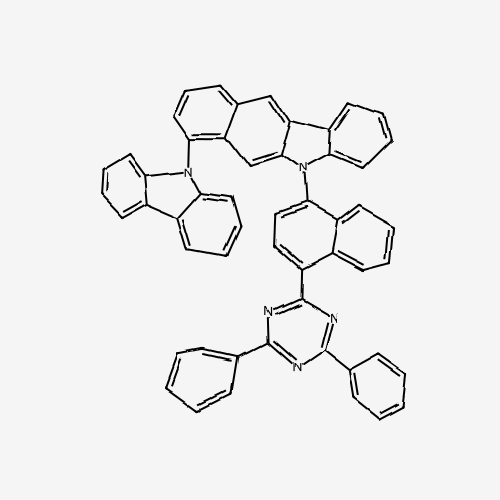 c1ccc(-c2nc(-c3ccccc3)nc(-c3ccc(-n4c5ccccc5c5cc6cccc(-n7c8ccccc8c8ccccc87)c6cc54)c4ccccc34)n2)cc1